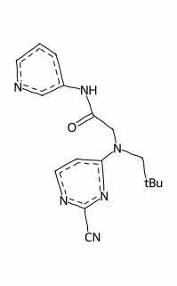 CC(C)(C)CN(CC(=O)Nc1cccnc1)c1ccnc(C#N)n1